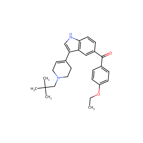 CCOc1ccc(C(=O)c2ccc3[nH]cc(C4=CCN(CC(C)(C)C)CC4)c3c2)cc1